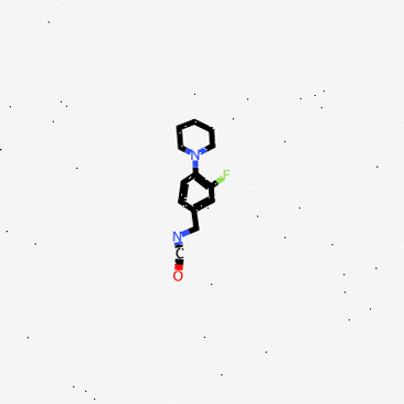 O=C=NCc1ccc(N2CCCCC2)c(F)c1